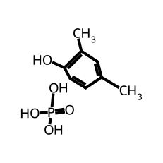 Cc1ccc(O)c(C)c1.O=P(O)(O)O